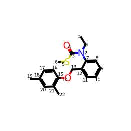 CCN(C(=O)SC)c1ccccc1COc1ccc(C)cc1C